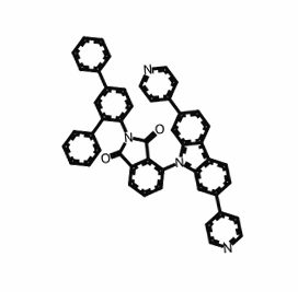 O=C1c2cccc(-n3c4cc(-c5ccncc5)ccc4c4ccc(-c5ccncc5)cc43)c2C(=O)N1c1ccc(-c2ccccc2)cc1-c1ccccc1